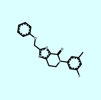 Cc1cc(F)cc(N2CCc3nc(COc4ccccc4)oc3C2=O)c1